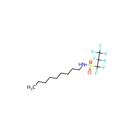 CCCCCCCCCNS(=O)(=O)C(F)(F)C(F)(F)C(F)(F)F